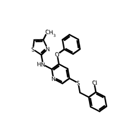 Cc1csc(Nc2ncc(SCc3ccccc3Cl)cc2Oc2ccccc2)n1